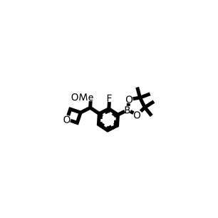 COC(c1cccc(B2OC(C)(C)C(C)(C)O2)c1F)C1COC1